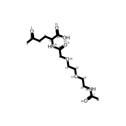 CC(=O)CCC(NC(=O)COCCOCCNC(C)=O)C(=O)O